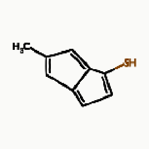 CC1=CC2=CC=C(S)C2=C1